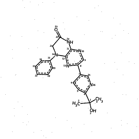 CC(C)(O)c1ccc(-c2cnc3c(n2)N(c2ccccc2)CC(=O)N3)cn1